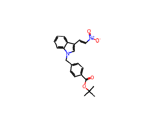 CC(C)(C)OC(=O)c1ccc(Cn2cc(/C=C/[N+](=O)[O-])c3ccccc32)cc1